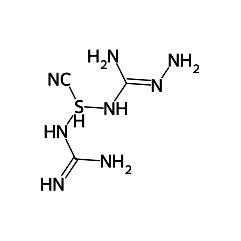 N#C[SH](NC(=N)N)NC(N)=NN